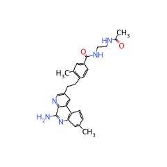 CC(=O)NCCNC(=O)c1ccc(CCc2cnc3c(N)nc4cc(C)ccc4c3c2)c(C)c1